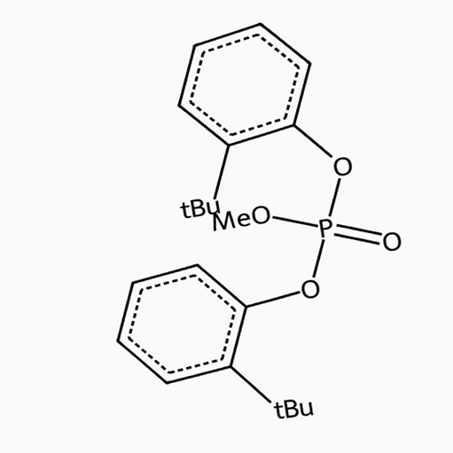 COP(=O)(Oc1ccccc1C(C)(C)C)Oc1ccccc1C(C)(C)C